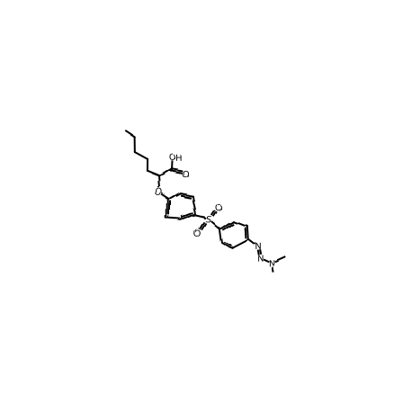 CCCCCC(Oc1ccc(S(=O)(=O)c2ccc(N=NN(C)C)cc2)cc1)C(=O)O